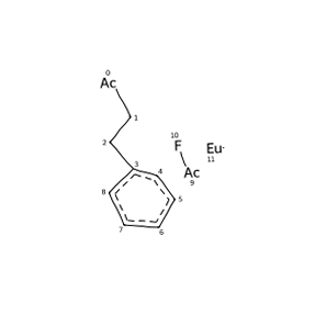 CC(=O)CCc1ccccc1.CC(=O)F.[Eu]